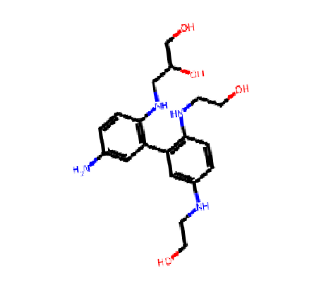 Nc1ccc(NCC(O)CO)c(-c2cc(NCCO)ccc2NCCO)c1